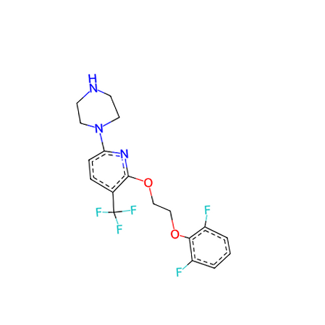 Fc1cccc(F)c1OCCOc1nc(N2CCNCC2)ccc1C(F)(F)F